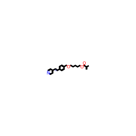 C=C(C)C(=O)OCCCCCOCc1ccc(/C=C/c2ccncc2)cc1